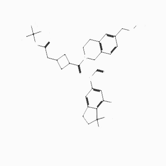 COCc1ccc2c(c1)CCN(C(=O)C1CC(CC(=O)OC(C)(C)C)C1)[C@H]2C(=O)Nc1cc(F)c2c(c1)CCC2(C)C